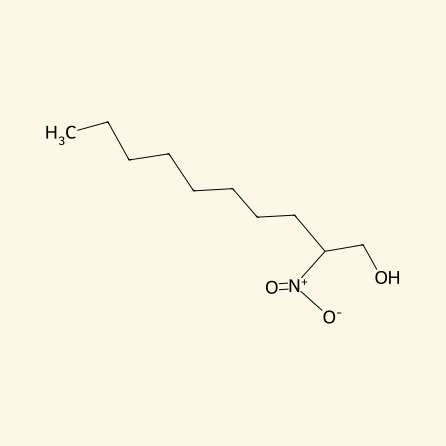 CCCCCCCCC(CO)[N+](=O)[O-]